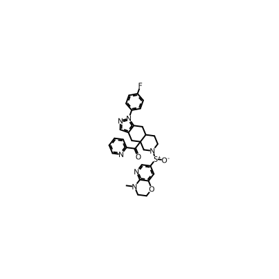 CN1CCOc2cc([S+]([O-])N3CCC4Cc5c(cnn5-c5ccc(F)cc5)CC4(C(=O)c4ccccn4)C3)cnc21